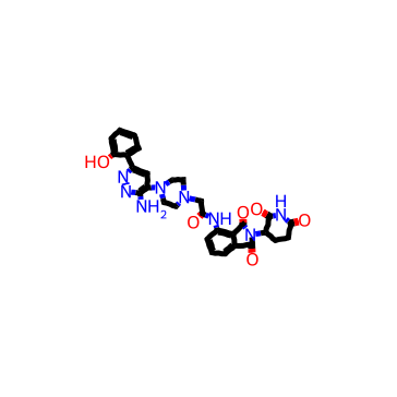 Nc1nnc(-c2ccccc2O)cc1N1CCN(CC(=O)Nc2cccc3c2C(=O)N(C2CCC(=O)NC2=O)C3=O)CC1